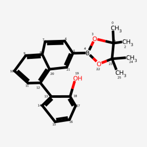 CC1(C)OB(c2ccc3cccc(-c4ccccc4O)c3c2)OC1(C)C